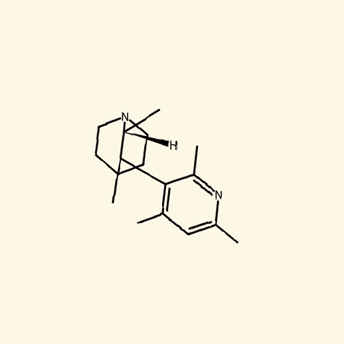 Cc1cc(C)c(C2[C@@H](C)N3CCC2(C)CC3)c(C)n1